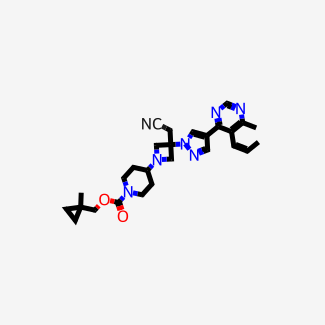 C/C=C\c1c(C)ncnc1-c1cnn(C2(CC#N)CN(C3CCN(C(=O)OCC4(C)CC4)CC3)C2)c1